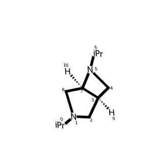 CC(C)N1C[C@@H]2CN(C(C)C)[C@@H]2C1